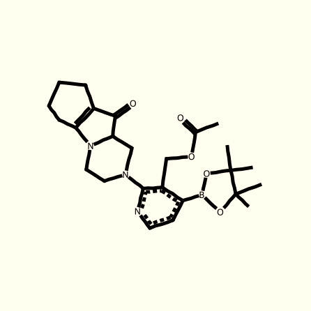 CC(=O)OCc1c(B2OC(C)(C)C(C)(C)O2)ccnc1N1CCN2C3=C(CCCC3)C(=O)C2C1